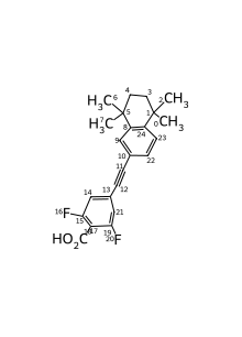 CC1(C)CCC(C)(C)c2cc(C#Cc3cc(F)c(C(=O)O)c(F)c3)ccc21